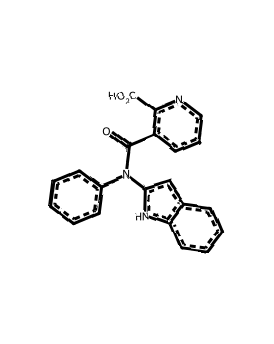 O=C(O)c1ncccc1C(=O)N(c1ccccc1)c1cc2ccccc2[nH]1